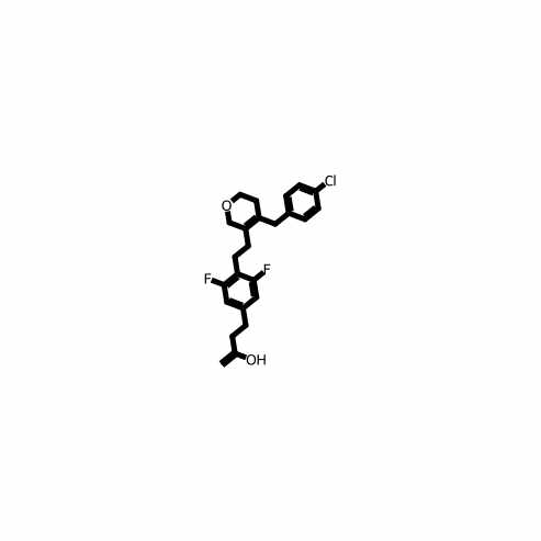 C=C(O)CCc1cc(F)c(CCC2=C(Cc3ccc(Cl)cc3)CCOC2)c(F)c1